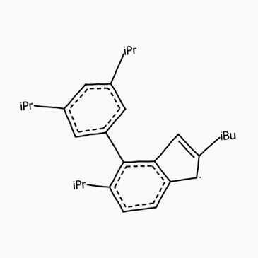 CCC(C)C1=Cc2c(ccc(C(C)C)c2-c2cc(C(C)C)cc(C(C)C)c2)[CH]1